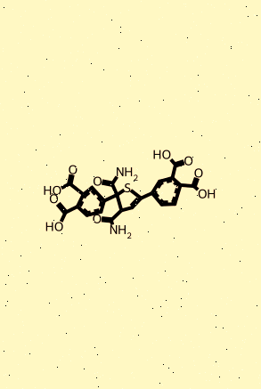 NC(=O)C1C=C(c2ccc(C(=O)O)c(C(=O)O)c2)SC1(C(N)=O)c1ccc(C(=O)O)c(C(=O)O)c1